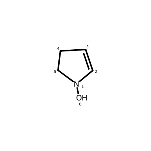 ON1C=CCC1